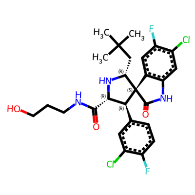 CC(C)(C)C[C@H]1N[C@@H](C(=O)NCCCO)[C@H](c2ccc(F)c(Cl)c2)[C@@]12C(=O)Nc1cc(Cl)c(F)cc12